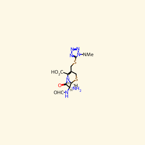 CNn1nnnc1SCC1=C(C(=O)O)N2C(=O)[C@](N)(NC=O)[C@@H]2SC1